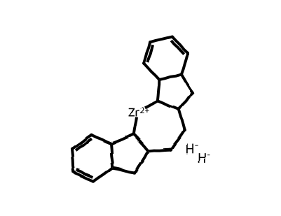 C1=CC2CC3CCC4CC5C=CC=CC5[CH]4[Zr+2][CH]3C2C=C1.[H-].[H-]